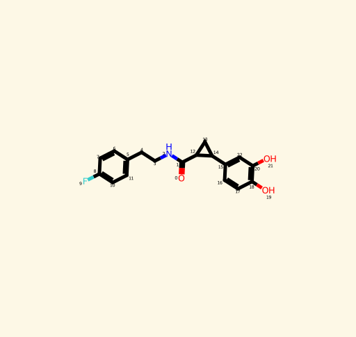 O=C(NCCc1ccc(F)cc1)C1CC1c1ccc(O)c(O)c1